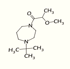 COC(C)C(=O)N1CCCN(C(C)(C)C)CC1